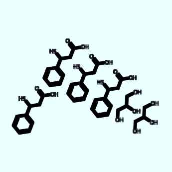 O=C(O)CC(S)c1ccccc1.O=C(O)CC(S)c1ccccc1.O=C(O)CC(S)c1ccccc1.O=C(O)CC(S)c1ccccc1.OCC(O)CO.OCC(O)CO